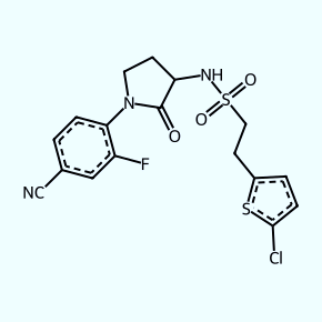 N#Cc1ccc(N2CCC(NS(=O)(=O)CCc3ccc(Cl)s3)C2=O)c(F)c1